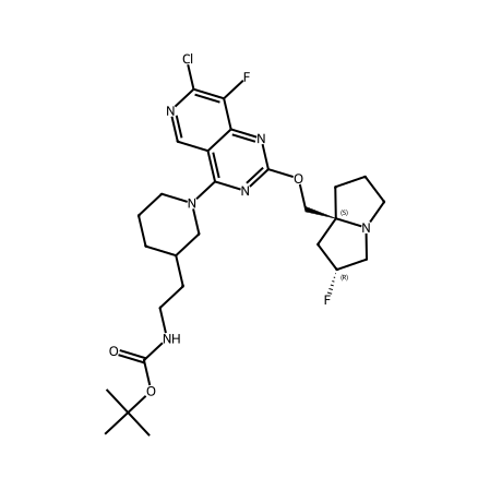 CC(C)(C)OC(=O)NCCC1CCCN(c2nc(OC[C@@]34CCCN3C[C@H](F)C4)nc3c(F)c(Cl)ncc23)C1